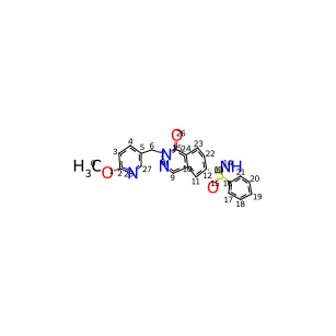 COc1ccc(Cn2ncc3cc([S@@](=N)(=O)c4ccccc4)ccc3c2=O)cn1